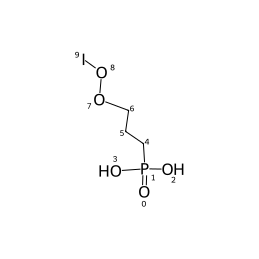 O=P(O)(O)CCCOOI